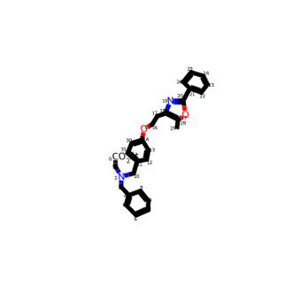 CCOC(=O)CN(Cc1ccccc1)Cc1ccc(OCCc2nc(-c3ccccc3)oc2C)cc1